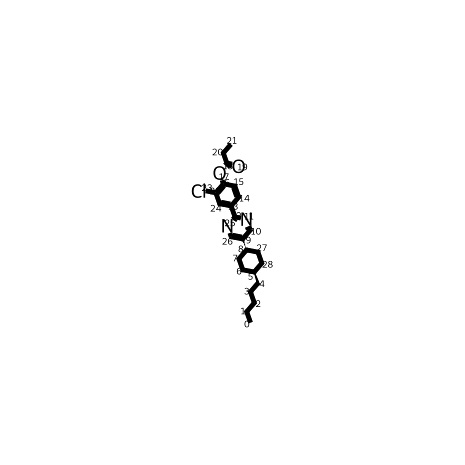 CCCCC[C@H]1CC[C@H](c2cnc(-c3ccc(OC(=O)CC)c(Cl)c3)nc2)CC1